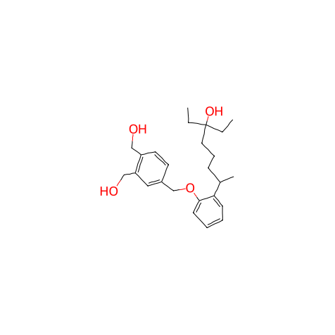 CCC(O)(CC)CCCC(C)c1ccccc1OCc1ccc(CO)c(CO)c1